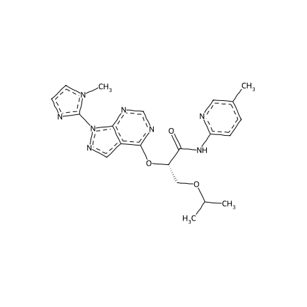 Cc1ccc(NC(=O)[C@H](COC(C)C)Oc2ncnc3c2cnn3-c2nccn2C)nc1